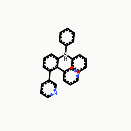 c1ccc([SiH](c2ccccc2)c2cccc(-c3cccnc3)c2-c2cccnc2)cc1